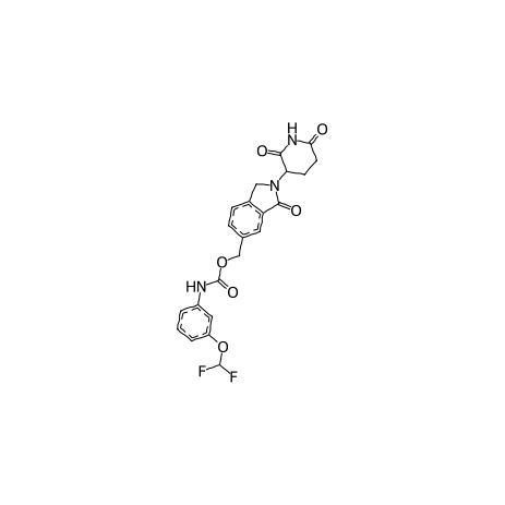 O=C1CCC(N2Cc3ccc(COC(=O)Nc4cccc(OC(F)F)c4)cc3C2=O)C(=O)N1